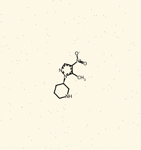 Cc1c([N+](=O)[O-])cnn1[C@@H]1CCCNC1